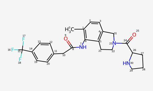 Cc1ccc2c(c1NC(=O)Cc1ccc(C(F)(F)F)cc1)CCN(C(=O)C1CCCN1)C2